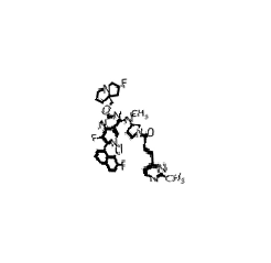 Cc1nccc(/C=C/C(=O)N2CC[C@@H](N(C)c3nc(OC[C@@]45CCCN4C[C@H](F)C5)nc4c(F)c(-c5cccc6ccc(F)c(Cl)c56)ncc34)C2)n1